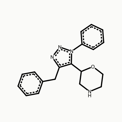 c1ccc(Cc2nnn(-c3ccccc3)c2C2CNCCO2)cc1